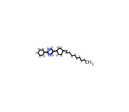 CCCCCCCCCCC1CCC(c2cnc(C3CCCCC3)nc2)CC1